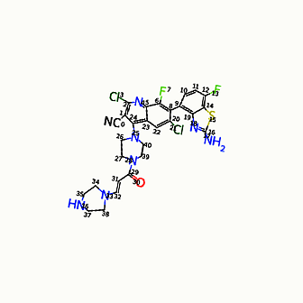 N#Cc1c(Cl)nc2c(F)c(-c3ccc(F)c4sc(N)nc34)c(Cl)cc2c1N1CCN(C(=O)C=CN2CCNCC2)CC1